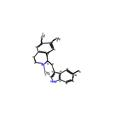 CCCc1cc2c(cc1CC)CCN(C=O)C2Cc1c[nH]c2ccc(C)cc12